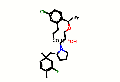 CCC[C@@H](OC[C@H](O)CN1CCC[C@H]1CC1(C)C=CC(C)=C(F)C1)c1ccc(Cl)cc1CCC(=O)O